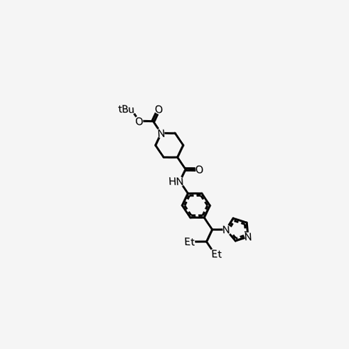 CCC(CC)C(c1ccc(NC(=O)C2CCN(C(=O)OC(C)(C)C)CC2)cc1)n1ccnc1